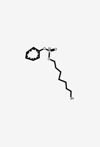 CC(C)CCCCCCCO[PH](=O)Oc1ccccc1